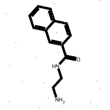 NCCNC(=O)c1ccc2ccccc2c1